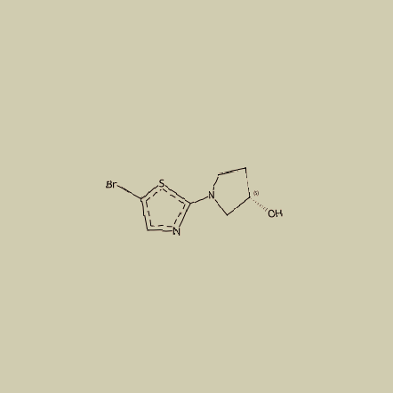 O[C@H]1CCN(c2ncc(Br)s2)C1